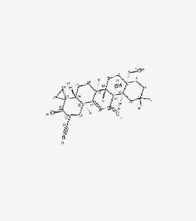 CC1(C)CC[C@]2(CO)CC[C@@]3(C)[C@]4(C)CC[C@H]5C6(CC6)C(=O)C(C#N)=C[C@]5(C)C4=CC(=O)[C@]3(O)[C@@H]2C1